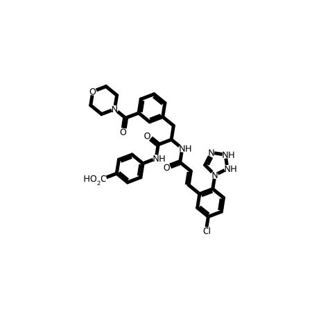 O=C(/C=C/c1cc(Cl)ccc1N1C=NNN1)NC(Cc1cccc(C(=O)N2CCOCC2)c1)C(=O)Nc1ccc(C(=O)O)cc1